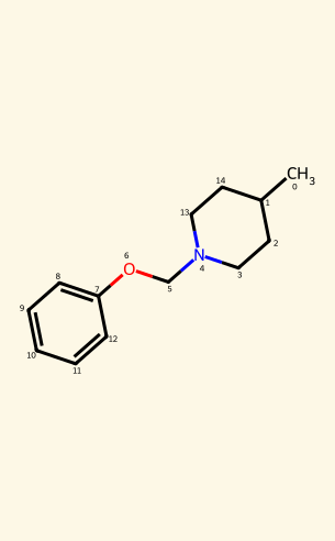 CC1CCN(COc2ccccc2)CC1